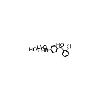 CC(C)(O)C(C)(C)OBc1ccc(C(O)c2ccccc2Cl)cc1